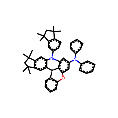 CC1(C)CC(C)(C)c2cc(N3c4cc5c(cc4B4c6ccccc6Oc6cc(N(c7ccccc7)c7ccccc7)cc3c64)C(C)(C)CC5(C)C)ccc21